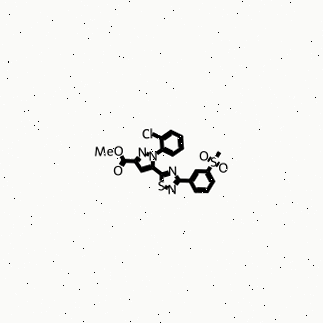 COC(=O)c1cc(-c2nc(-c3cccc(S(C)(=O)=O)c3)ns2)n(-c2ccccc2Cl)n1